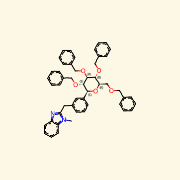 Cn1c(Cc2cccc([C@@H]3O[C@H](COCc4ccccc4)[C@@H](OCc4ccccc4)[C@H](OCc4ccccc4)[C@H]3OCc3ccccc3)c2)nc2ccccc21